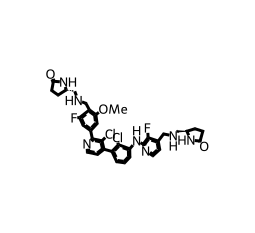 COc1cc(-c2nccc(-c3cccc(Nc4nccc(CNC[C@H]5CCC(=O)N5)c4F)c3Cl)c2Cl)cc(F)c1CNC[C@@H]1CCC(=O)N1